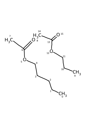 CCCCCOC(C)=O.CCCOC(C)=O